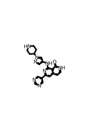 O=c1[nH]ccc2cc(-c3cncnc3)nc(Nc3cnn(C4CCNCC4)c3)c12